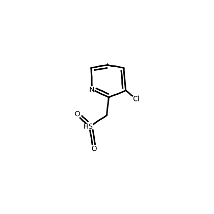 O=[SH](=O)Cc1nc[c]cc1Cl